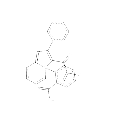 NC(=O)C(=O)C1=C(c2ccccc2)C=C2C=CC=C[N+]21c1ccccc1C(=O)O